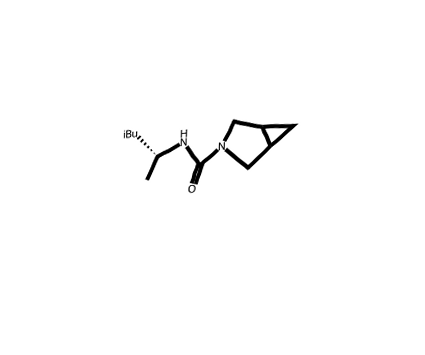 CCC(C)[C@@H](C)NC(=O)N1CC2CC2C1